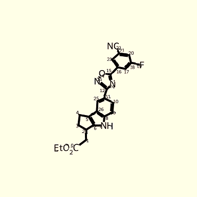 CCOC(=O)CC1CCc2c1[nH]c1ccc(-c3noc(-c4cc(F)cc(C#N)c4)n3)cc21